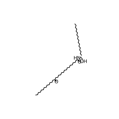 CCCCCCCCCCCCCCCCCC[C@H](CO)NC(=O)CCCCCCCCCCCCCCCC(=O)CCCCCCCCCCCCC